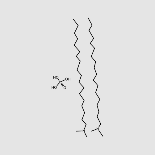 CCCCCCCCCCCCCCCCCCN(C)C.CCCCCCCCCCCCCCCCCCN(C)C.O=P(O)(O)O